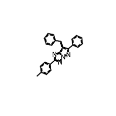 Cc1ccc(-c2nc3/c(=C\c4ccccc4)c(-c4ccccc4)nn3n2)cc1